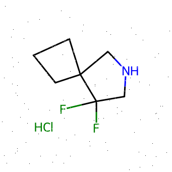 Cl.FC1(F)CNCC12CCC2